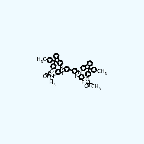 CCC1(COc2ccc(C3(c4ccc(C)cc4)c4ccccc4-c4ccc(N(c5ccc(-c6ccc(N(c7ccc8c(c7)C(c7ccc(C)cc7)(c7ccc(OCC9(CC)COC9)cc7)c7ccccc7-8)c7ccc(F)cc7F)cc6)cc5)c5ccc(F)cc5F)cc43)cc2)COC1